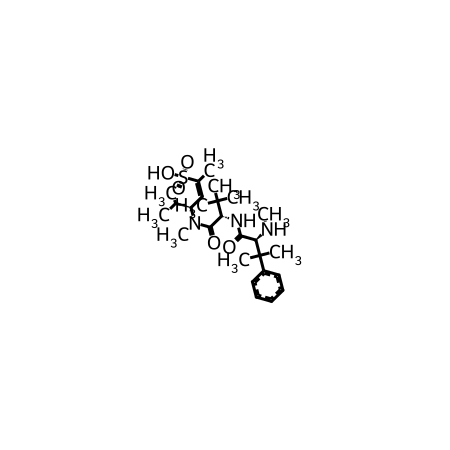 CN[C@H](C(=O)N[C@H](C(=O)N(C)[C@H](/C=C(/C)S(=O)(=O)O)C(C)C)C(C)(C)C)C(C)(C)c1ccccc1